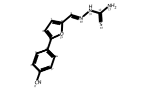 N#Cc1ccc(-c2ccc(C=NNC(N)=S)o2)cc1